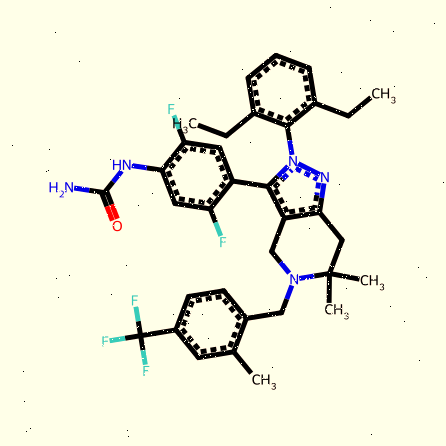 CCc1cccc(CC)c1-n1nc2c(c1-c1cc(F)c(NC(N)=O)cc1F)CN(Cc1ccc(C(F)(F)F)cc1C)C(C)(C)C2